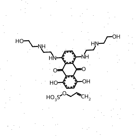 C=CCOS(=O)(=O)O.O=C1c2c(O)ccc(O)c2C(=O)c2c(NCCNCCO)ccc(NCCNCCO)c21